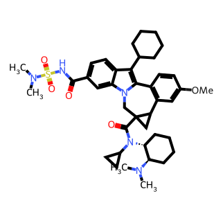 COc1ccc2c(c1)C1CC1(C(=O)N(C1CC1)[C@@H]1CCCC[C@H]1N(C)C)Cn1c-2c(C2CCCCC2)c2ccc(C(=O)NS(=O)(=O)N(C)C)cc21